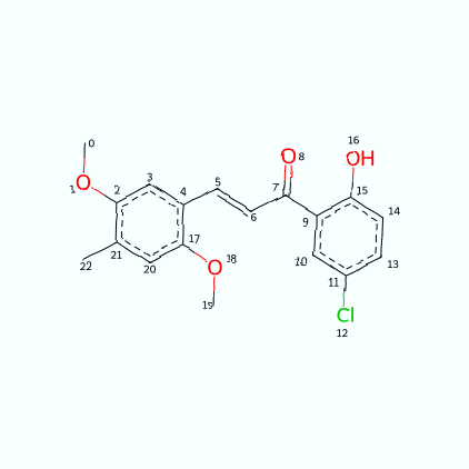 COc1cc(C=CC(=O)c2cc(Cl)ccc2O)c(OC)cc1C